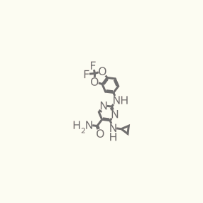 NC(=O)c1cnc(Nc2ccc3c(c2)OC(F)(F)O3)nc1NC1CC1